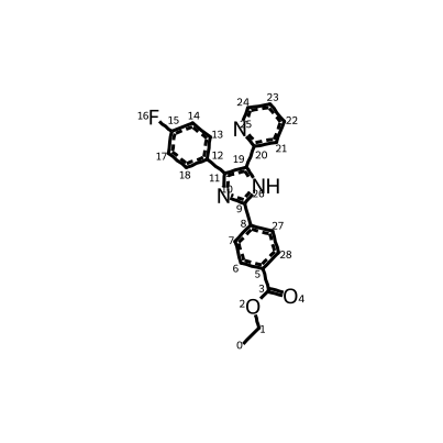 CCOC(=O)c1ccc(-c2nc(-c3ccc(F)cc3)c(-c3ccccn3)[nH]2)cc1